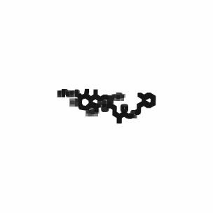 C=C(CCC(=O)N(CCC)CCC(C)C1/C(=C(\CC)CCC)CCNC(CCCCC)C1C)C(=O)C=C=CCc1ccccc1C